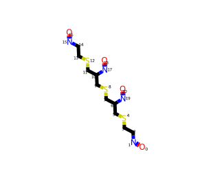 O=NCCSCC(CSCC(CSCCN=O)N=O)N=O